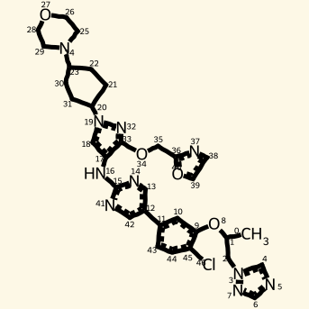 CC(Cn1cncn1)Oc1cc(-c2cnc(Nc3cn(C4CCC(N5CCOCC5)CC4)nc3OCc3ncco3)nc2)ccc1Cl